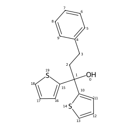 OC(CCc1ccccc1)(c1[c]ccs1)c1cccs1